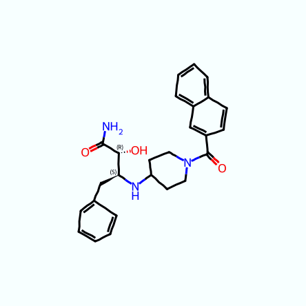 NC(=O)[C@H](O)[C@H](Cc1ccccc1)NC1CCN(C(=O)c2ccc3ccccc3c2)CC1